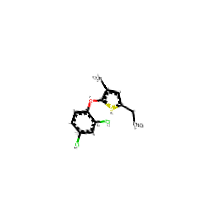 O=CCc1cc([N+](=O)[O-])c(Oc2ccc(Cl)cc2Cl)s1